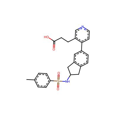 Cc1ccc(S(=O)(=O)NC2Cc3ccc(-c4ccncc4CCC(=O)O)cc3C2)cc1